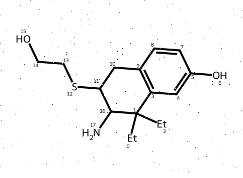 CCC1(CC)c2cc(O)ccc2CC(SCCO)C1N